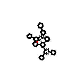 c1ccc(-c2ccc3nc4n(-c5c(-c6ccccc6)cc(-c6cc(-c7ccccc7)nc(-c7ccccc7)n6)cc5-c5ccccc5)c5ccc(-c6ccccc6)cc5n4c3c2)cc1